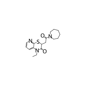 CCN1C(=O)C(CC(=O)N2CCCCCC2)Sc2ncccc21